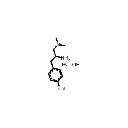 CN(C)CC(N)Cc1ccc(C#N)cc1.Cl.Cl